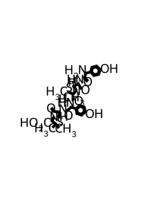 CC1(C)S[C@@H]2[C@H](NC(=O)[C@H](NC(=O)[C@@H]3N4C(=O)[C@@H](NC(=O)[C@H](N)c5ccc(O)cc5)[C@H]4SC3(C)C)c3ccc(O)cc3)C(=O)N2[C@H]1C(=O)O